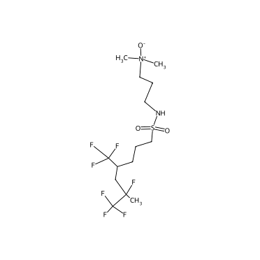 CC(F)(CC(CCCS(=O)(=O)NCCC[N+](C)(C)[O-])C(F)(F)F)C(F)(F)F